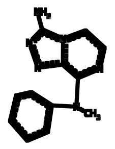 CN(c1ccccc1)c1nccn2c(N)nnc12